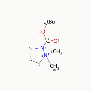 CC(C)(C)OC(=O)N1CCC[N+]1(C)C